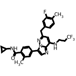 Cc1ccc(Cc2cc(NCCC(F)(F)F)c3ncc(-c4ccc(C(=O)NC5CC5)c(C)c4)n3n2)cc1F